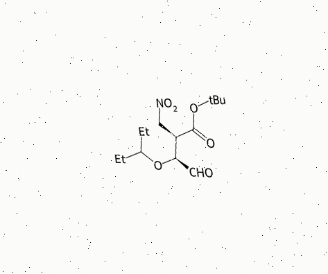 CCC(CC)O[C@H](C=O)[C@@H](C[N+](=O)[O-])C(=O)OC(C)(C)C